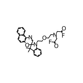 CC1(C)c2ccccc2N(CCOCCN(CC(=O)F)CC(=O)F)C12C=Nc1c(ccc3ccccc13)O2